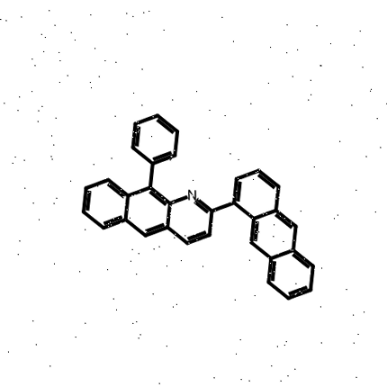 c1ccc(-c2c3ccccc3cc3ccc(-c4cccc5cc6ccccc6cc45)nc23)cc1